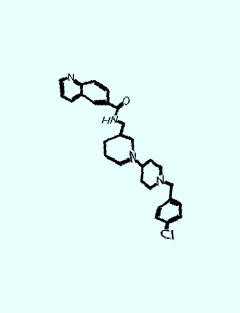 O=C(NCC1CCCN(C2CCN(Cc3ccc(Cl)cc3)CC2)C1)c1ccc2ncccc2c1